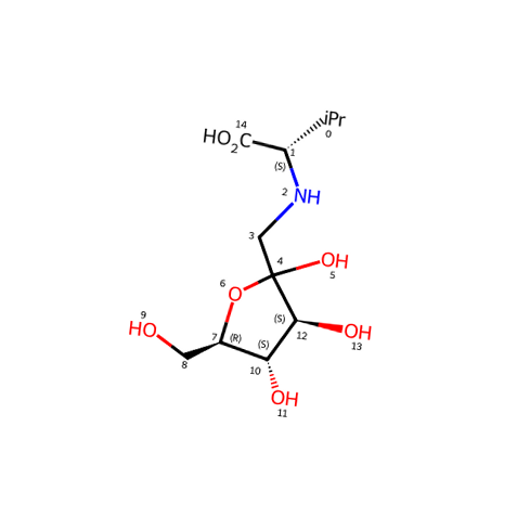 CC(C)[C@H](NCC1(O)O[C@H](CO)[C@@H](O)[C@@H]1O)C(=O)O